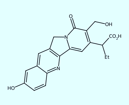 CCC(C(=O)O)c1cc2n(c(=O)c1CO)Cc1cc3cc(O)ccc3nc1-2